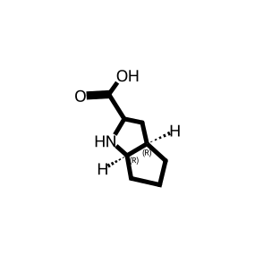 O=C(O)C1C[C@H]2CCC[C@H]2N1